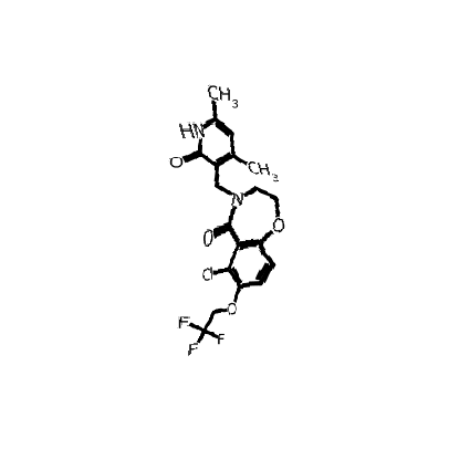 Cc1cc(C)c(CN2CCOc3ccc(OCC(F)(F)F)c(Cl)c3C2=O)c(=O)[nH]1